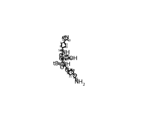 Cc1ncsc1-c1ccc([C@H](C)NC(=O)[C@@H]2C[C@@H](O)CN2C(=O)[C@@H](NC(=O)COc2ccc(OCCN)nc2)C(C)(C)C)cc1